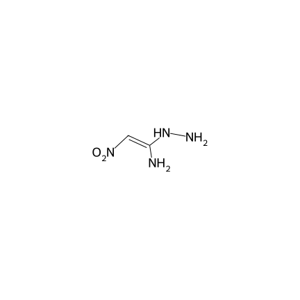 NN/C(N)=C/[N+](=O)[O-]